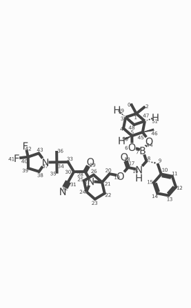 CC1(C)[C@@H]2C[C@H]3OB([C@H](Cc4ccccc4)NC(=O)OCC45CCC(CC4)N5C(=O)C(C#N)CC(C)(C)N4CCC(F)(F)C4)O[C@@]3(C)[C@H]1C2